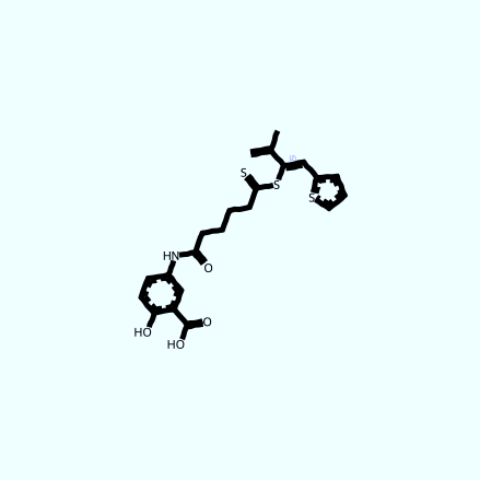 C=C(C)/C(=C/c1cccs1)SC(=S)CCCCC(=O)Nc1ccc(O)c(C(=O)O)c1